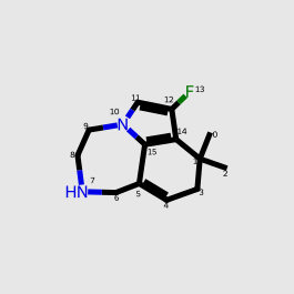 CC1(C)CC=C2CNCCn3cc(F)c1c32